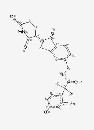 O=C1CCC(N2Cc3cc(CNC(=O)C(F)(F)c4ccc(Cl)cc4F)ccc3C2=O)C(=O)N1